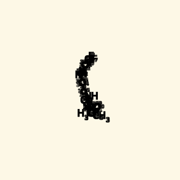 Cc1cs/c(=N\C(=O)NC2CCC(c3ccc(-c4ncn(-c5ccc(OC(F)(F)F)cc5)n4)cc3)C2)n1-c1ccccc1C(C)C